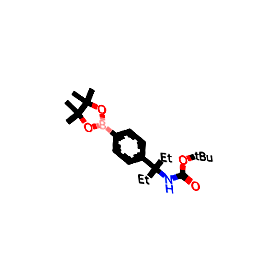 CCC(CC)(NC(=O)OC(C)(C)C)c1ccc(B2OC(C)(C)C(C)(C)O2)cc1